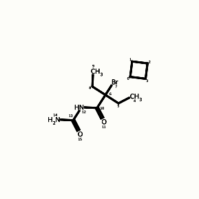 C1CCC1.CCC(Br)(CC)C(=O)NC(N)=O